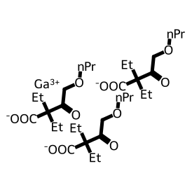 CCCOCC(=O)C(CC)(CC)C(=O)[O-].CCCOCC(=O)C(CC)(CC)C(=O)[O-].CCCOCC(=O)C(CC)(CC)C(=O)[O-].[Ga+3]